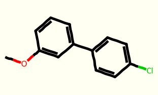 COc1cccc(-c2ccc(Cl)cc2)c1